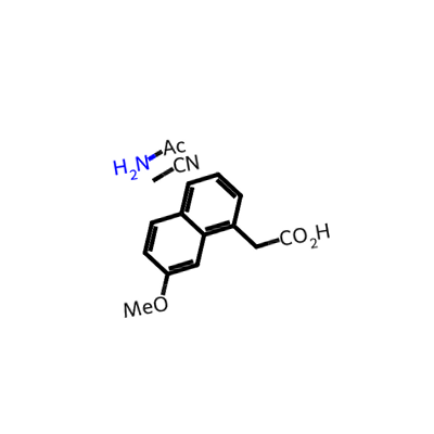 CC#N.CC(N)=O.COc1ccc2cccc(CC(=O)O)c2c1